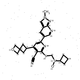 Cn1cc2cc(-c3cc(C4CC5(COC5)C4)c(C#N)c(SC[S+]([O-])C4CCC4)n3)cnc2n1